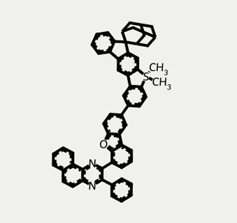 CS1(C)c2ccc(-c3ccc4oc5c(-c6nc7c(ccc8ccccc87)nc6-c6ccccc6)cccc5c4c3)cc2-c2cc3c(cc21)C1(c2ccccc2-3)C2CC3CC(C2)CC1C3